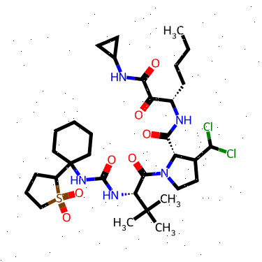 CCCC[C@H](NC(=O)[C@@H]1C(C(Cl)Cl)CCN1C(=O)[C@@H](NC(=O)NC1(C2CCCS2(=O)=O)CCCCC1)C(C)(C)C)C(=O)C(=O)NC1CC1